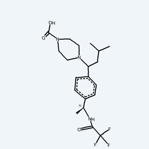 CC(C)CC(c1ccc([C@H](C)NC(=O)C(F)(F)F)cc1)N1CCN(C(=O)O)CC1